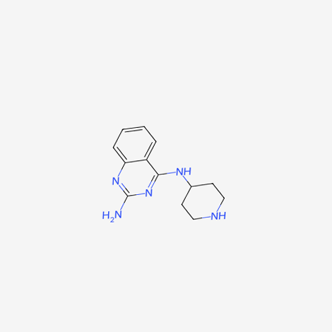 Nc1nc(NC2CCNCC2)c2ccccc2n1